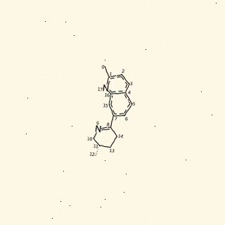 Cc1ccc2ccc(C3=NC[C@@H](C)CC3)cc2n1